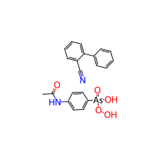 CC(=O)Nc1ccc([As](=O)(O)OO)cc1.N#Cc1ccccc1-c1ccccc1